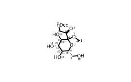 CCCCCCCCCCCC(=O)C1(OCC)O[C@H](CO)[C@@H](O)[C@H](O)[C@H]1O